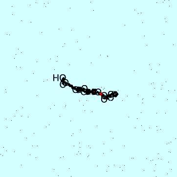 C=C(CO)C(=O)OCCCCCCOc1ccc(C(=O)Oc2ccc(-c3ccc(OCCCOC(=O)C(=C)CC(=O)OC4CCCCC4)cc3)cc2)cc1